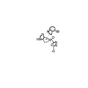 O=C(c1nnc(C2CC2)o1)N1CCc2[nH]cnc2[C@@H]1c1cc2c(Br)cccn2n1